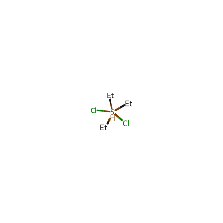 CC[SH](Cl)(Cl)(CC)CC